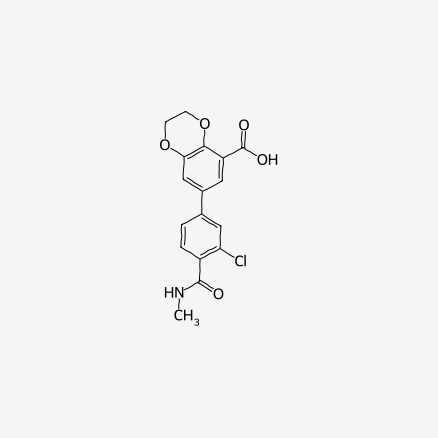 CNC(=O)c1ccc(-c2cc3c(c(C(=O)O)c2)OCCO3)cc1Cl